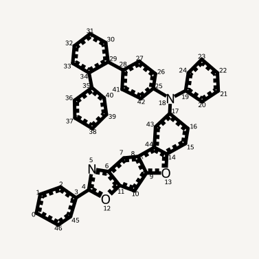 c1ccc(-c2nc3cc4c(cc3o2)oc2ccc(N(c3ccccc3)c3ccc(-c5ccccc5-c5ccccc5)cc3)cc24)cc1